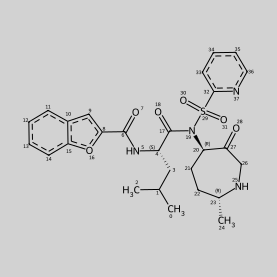 CC(C)C[C@H](NC(=O)c1cc2ccccc2o1)C(=O)N([C@@H]1CC[C@@H](C)NCC1=O)S(=O)(=O)c1ccccn1